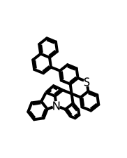 c1ccc2c(c1)Sc1ccc(-c3cccc4ccccc34)cc1C21c2ccccc2-n2c3ccccc3c3cccc1c32